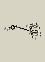 CC(C)(C)OC(=O)N(CCCCCCCSc1ccc(N)cc1)C(=O)OC(C)(C)C